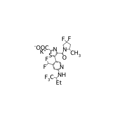 CCC(Nc1cc(C(F)F)c(-c2sc(C(=O)[O-])nc2C(=O)N2CC(F)(F)CC2C)cn1)C(F)(F)F.[K+]